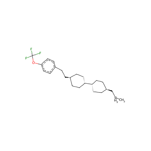 C[SiH2]C[C@H]1CC[C@H]([C@H]2CC[C@H](CCc3ccc(OC(F)(F)F)cc3)CC2)CC1